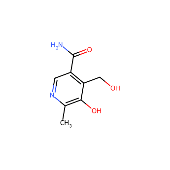 Cc1ncc(C(N)=O)c(CO)c1O